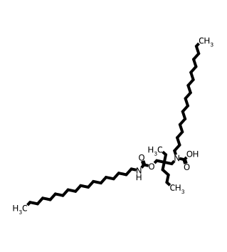 CCCCCCCCCCCCCCCCCCNC(=O)OCC(CC)(CCCC)CN(CCCCCCCCCCCCCCCCCC)C(=O)O